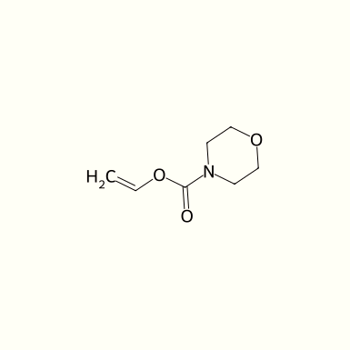 C=COC(=O)N1CCOCC1